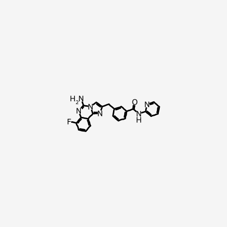 Nc1nc2c(F)cccc2c2nc(Cc3cccc(C(=O)Nc4ccccn4)c3)cn12